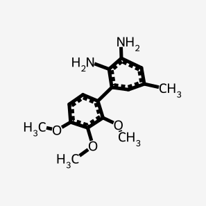 COc1ccc(-c2cc(C)cc(N)c2N)c(OC)c1OC